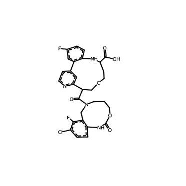 O=C1Nc2ccc(Cl)c(F)c2CN(C(=O)C2CCCCC(C(=O)O)Nc3ccc(F)cc3-c3ccnc2c3)CCCO1